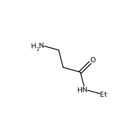 C[CH]NC(=O)CCN